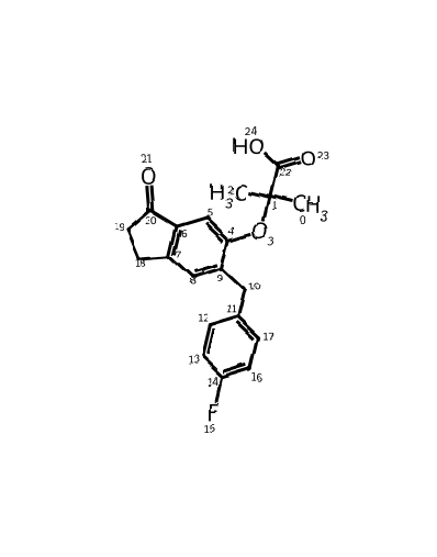 CC(C)(Oc1cc2c(cc1Cc1ccc(F)cc1)CCC2=O)C(=O)O